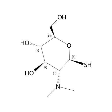 CN(C)[C@@H]1[C@@H](O)[C@H](O)[C@@H](CO)O[C@H]1S